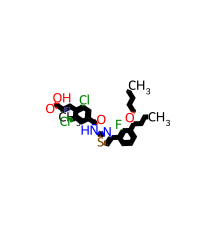 CCCCCOC(CCC)c1cccc(-c2csc(NC(=O)c3cc(Cl)c(/C=C(\C)C(=O)O)c(Cl)c3)n2)c1F